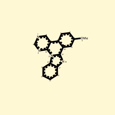 COc1ccc2c3cncnc3n3c4ccccc4nc3c2c1